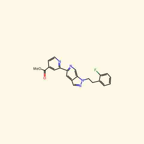 COC(=O)c1ccnc(-c2cc3cnn(CCc4ccccc4F)c3cn2)c1